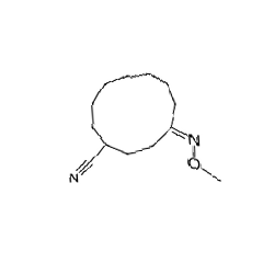 CON=C1CCCCCCCC(C#N)CC1